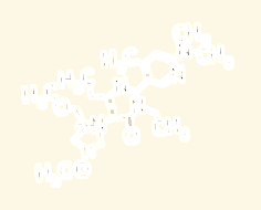 CCc1nc(-c2cnc(N(C)C)cc2C)n(CC)c(=O)c1N1C[C@H](OC)C[C@H]1COC